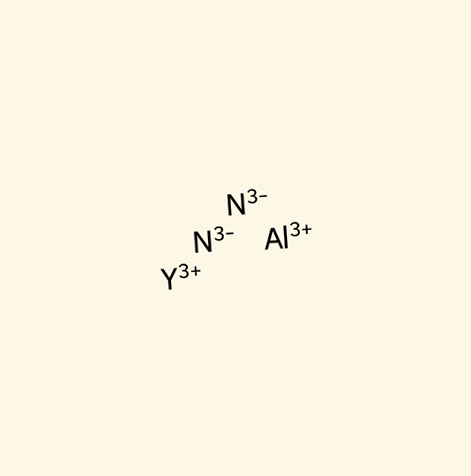 [Al+3].[N-3].[N-3].[Y+3]